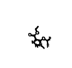 CCOC(=O)c1nnn(C)c1OC(F)F